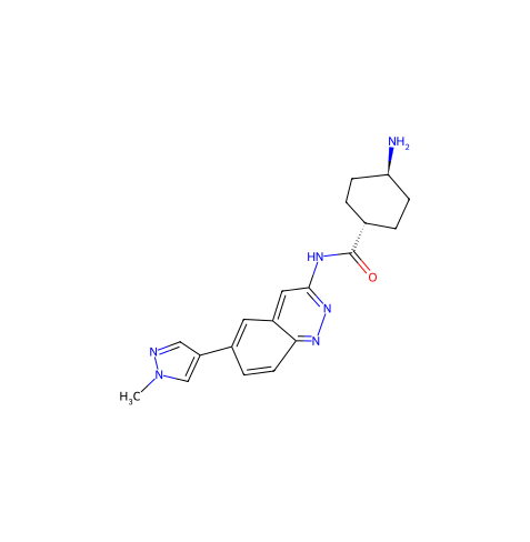 Cn1cc(-c2ccc3nnc(NC(=O)[C@H]4CC[C@H](N)CC4)cc3c2)cn1